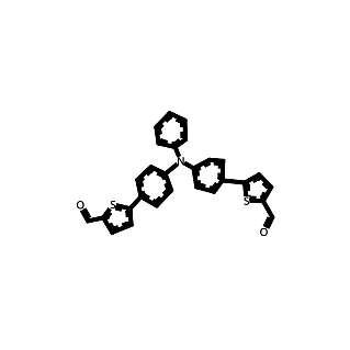 O=Cc1ccc(-c2ccc(N(c3ccccc3)c3ccc(-c4ccc(C=O)s4)cc3)cc2)s1